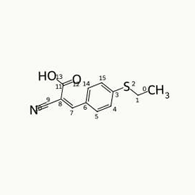 CCSc1ccc(C=C(C#N)C(=O)O)cc1